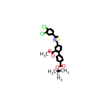 COC(=O)c1cc(-c2nc(-c3ccc(Cl)c(Cl)c3)cs2)ccc1-c1ccc(C(=O)OC(C)(C)C)cc1